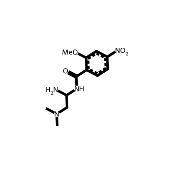 COc1cc([N+](=O)[O-])ccc1C(=O)NC(N)CN(C)C